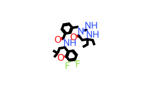 CCC1(CC)CC(=O)N(Cc2cccc(C(=O)NC3CC(C)(C)Oc4c3ccc(F)c4F)c2)C(=N)N1